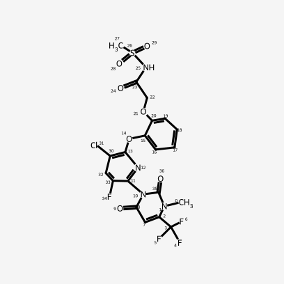 Cn1c(C(F)(F)F)cc(=O)n(-c2nc(Oc3ccccc3OCC(=O)NS(C)(=O)=O)c(Cl)cc2F)c1=O